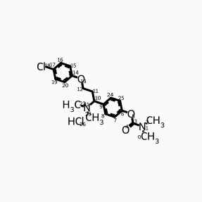 CN(C)C(=O)Oc1ccc(C(CCOc2ccc(Cl)cc2)N(C)C)cc1.Cl